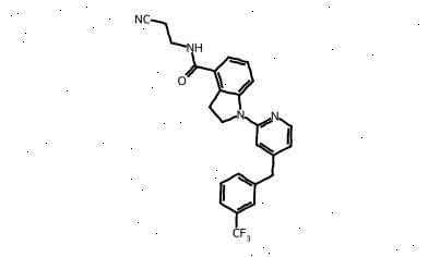 N#CCCNC(=O)c1cccc2c1CCN2c1cc(Cc2cccc(C(F)(F)F)c2)ccn1